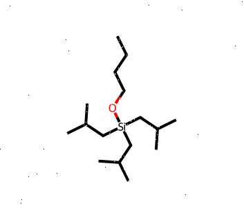 CCCCO[Si](CC(C)C)(CC(C)C)CC(C)C